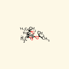 CC(C)O[SiH](OC(C)C)OC(C)(C)C